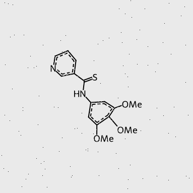 COc1cc(NC(=S)c2cccnc2)cc(OC)c1OC